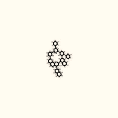 c1ccc(-c2ccc(-c3cc(-c4ccccc4)nc(-c4cccc(-c5ccc6ccc7c(-c8ccc9ccccc9c8)cc(-c8cccc9ccccc89)nc7c6n5)c4)n3)cc2)cc1